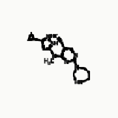 C#Cc1cnc(N2CCCNCC2)nc1N(C)c1cc(C2CC2)n[nH]1